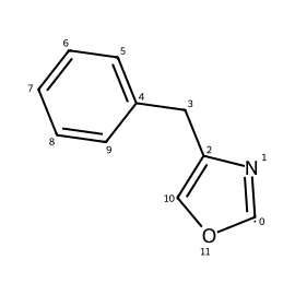 [c]1nc(Cc2ccccc2)co1